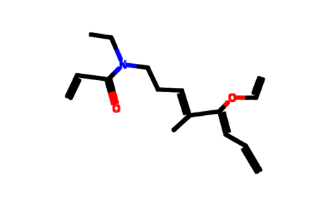 C=C/C=C(OC=C)/C(C)=C/CCN(CC)C(=O)C=C